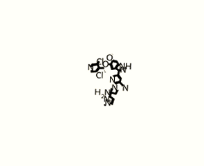 COc1cc2[nH]nc(-c3cnc(N4CC[C@@](N)(c5ccn(C)n5)C4)c(C#N)c3)c2cc1O[C@H](C)c1c(Cl)cncc1Cl